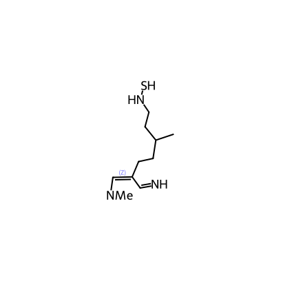 CN/C=C(\C=N)CCC(C)CCNS